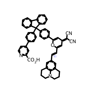 N#CC(C#N)=C1C=C(/C=C/c2cc3c4c(c2)CCCN4CCC3)OC(c2ccc(C3(c4ccc(-c5ccnc(C(=O)O)c5)cc4)c4ccccc4-c4ccccc43)cc2)=C1